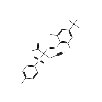 CC(=O)C(CC#N)(/N=N/c1c(Cl)cc(C(F)(F)F)cc1Cl)S(=O)(=O)c1ccc(Cl)cc1